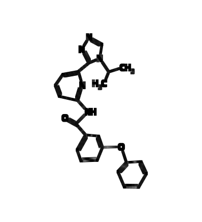 CC(C)n1cnnc1-c1cccc(NC(=O)c2cccc(Oc3ccccc3)c2)n1